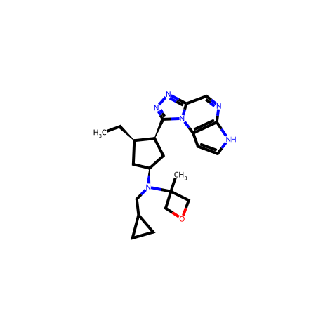 CC[C@@H]1C[C@H](N(CC2CC2)C2(C)COC2)C[C@@H]1c1nnc2cnc3[nH]ccc3n12